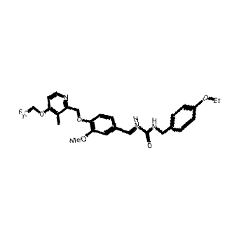 CCOc1ccc(CNC(=O)NCc2ccc(OCc3nccc(OCC(F)(F)F)c3C)c(OC)c2)cc1